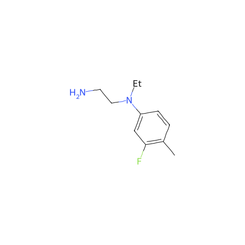 CCN(CCN)c1ccc(C)c(F)c1